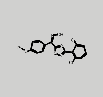 CC(C)Oc1ccc(C(=NO)c2nc(-c3c(Cl)cccc3Cl)no2)cc1